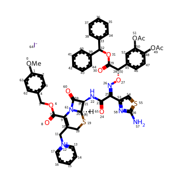 COc1ccc(COC(=O)C2=C(C[n+]3ccccc3)CS[C@@H]3[C@H](NC(=O)C(=NO[C@H](C(=O)OC(c4ccccc4)c4ccccc4)c4ccc(OC(C)=O)c(OC(C)=O)c4)c4csc(N)n4)C(=O)N23)cc1.[I-]